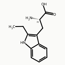 CCc1[nH]c2ccccc2c1C[C@H](N)C(=O)O